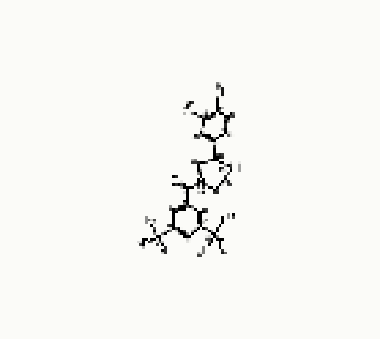 O=C(c1cc(C(F)(F)F)cc(C(F)(F)F)c1)N1CCNC(c2ccc(Cl)c(Cl)c2)C1